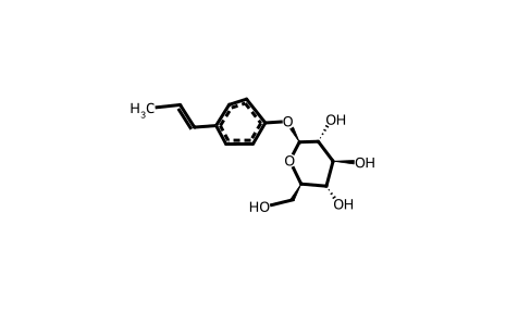 C/C=C/c1ccc(O[C@@H]2O[C@H](CO)[C@@H](O)[C@H](O)[C@H]2O)cc1